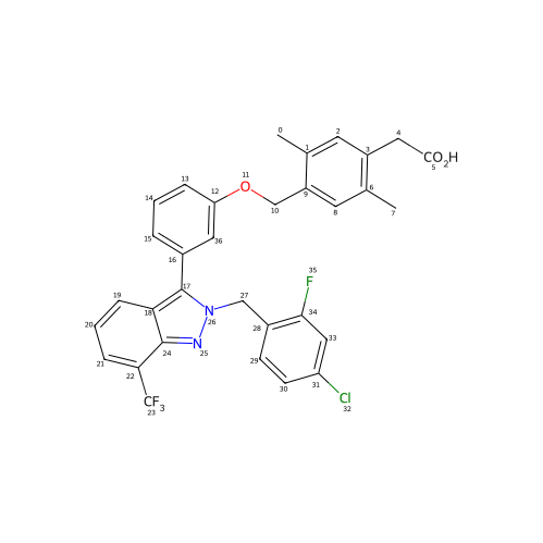 Cc1cc(CC(=O)O)c(C)cc1COc1cccc(-c2c3cccc(C(F)(F)F)c3nn2Cc2ccc(Cl)cc2F)c1